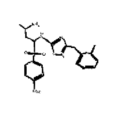 COc1ccc(S(=O)(=O)C(CC(C)N)Nc2nc(Cc3ccccc3C)ns2)cc1